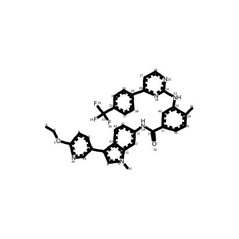 CCOc1ccc(-c2cn(C)c3cc(NC(=O)c4ccc(C)c(Nc5nccc(-c6ccc(C(F)(F)F)cc6)n5)c4)ccc23)cn1